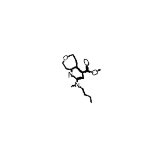 CCCCN(C)c1cc(C(=O)OC)c2c(n1)CCOCC2